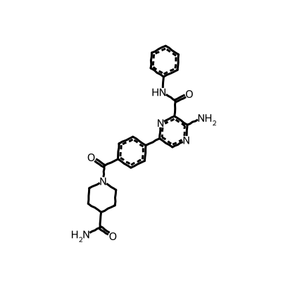 NC(=O)C1CCN(C(=O)c2ccc(-c3cnc(N)c(C(=O)Nc4ccccc4)n3)cc2)CC1